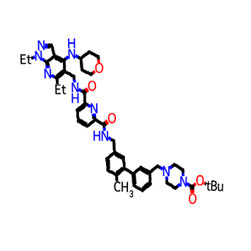 CCc1nc2c(cnn2CC)c(NC2CCOCC2)c1CNC(=O)c1cccc(C(=O)NCc2ccc(C)c(-c3cccc(CN4CCN(C(=O)OC(C)(C)C)CC4)c3)c2)n1